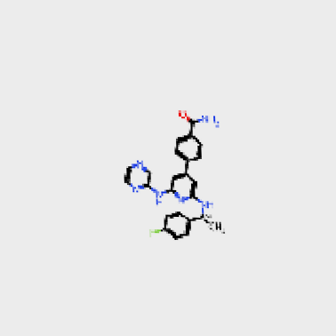 C[C@H](Nc1cc(-c2ccc(C(N)=O)cc2)cc(Nc2cnccn2)n1)c1ccc(F)cc1